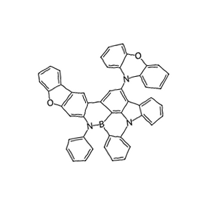 c1ccc(N2B3c4ccccc4-n4c5ccccc5c5c(N6c7ccccc7Oc7ccccc76)cc(c3c54)-c3cc4c(cc32)oc2ccccc24)cc1